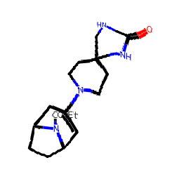 CCOC(=O)N1C2C=C(N3CCC4(CC3)CNC(=O)N4)CC1CC2